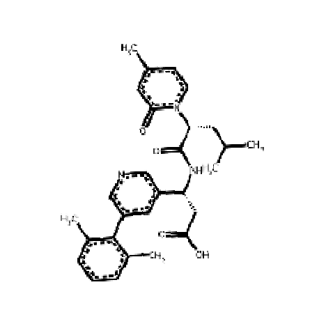 Cc1ccn([C@H](CC(C)C)C(=O)N[C@H](CC(=O)O)c2cncc(-c3c(C)cccc3C)c2)c(=O)c1